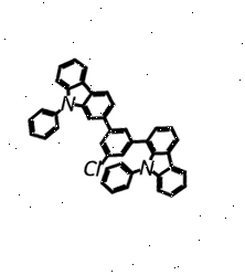 Clc1cc(-c2ccc3c4ccccc4n(-c4ccccc4)c3c2)cc(-c2cccc3c4ccccc4n(-c4ccccc4)c23)c1